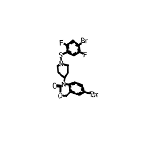 O=C1OCc2cc(Br)ccc2N1C1CCN(Sc2cc(F)c(Br)cc2F)CC1